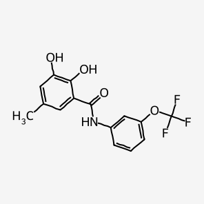 Cc1cc(O)c(O)c(C(=O)Nc2cccc(OC(F)(F)F)c2)c1